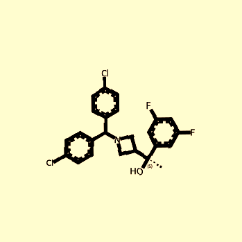 C[C@@](O)(c1cc(F)cc(F)c1)C1CN(C(c2ccc(Cl)cc2)c2ccc(Cl)cc2)C1